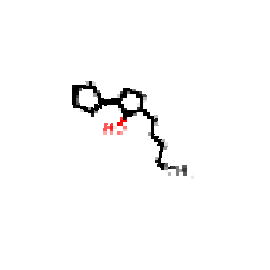 CCCCCC1CCC(=C2CCCC2)C1O